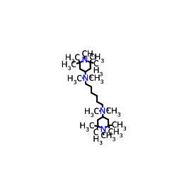 CN1C(C)(C)CC([N+](C)(C)CCCCCC[N+](C)(C)C2CC(C)(C)N(C)C(C)(C)C2)CC1(C)C